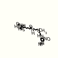 CN(CCCNC(=O)CCCCC1SC[C@@H]2NC(=O)N[C@H]12)CCCNc1ccc(N=[N+]=[N-])cc1N=O